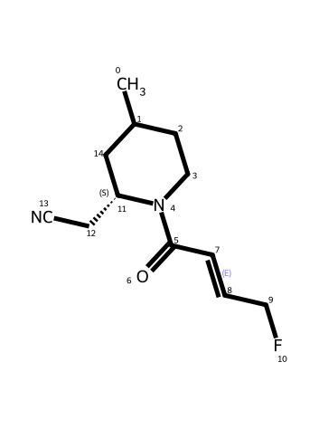 CC1CCN(C(=O)/C=C/CF)[C@H](CC#N)C1